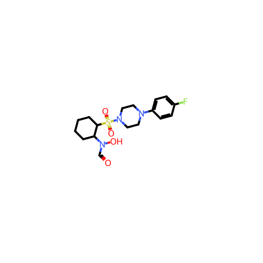 O=CN(O)C1CCCCC1S(=O)(=O)N1CCN(c2ccc(F)cc2)CC1